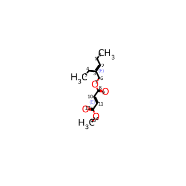 CC/C=C(\CC)COC(=O)/C=C/C(=O)OC